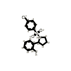 O=S(=O)(c1ccc(Cl)cc1)N1CCCC1c1ccccc1F